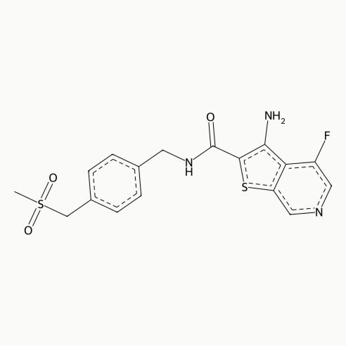 CS(=O)(=O)Cc1ccc(CNC(=O)c2sc3cncc(F)c3c2N)cc1